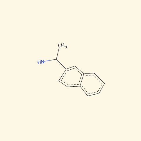 CC([NH])c1ccc2ccccc2c1